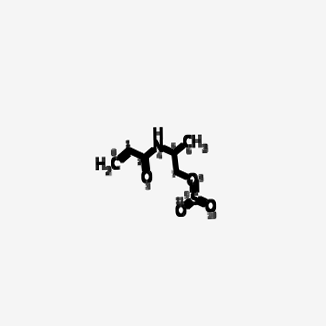 C=CC(=O)NC(C)CO[SH](=O)=O